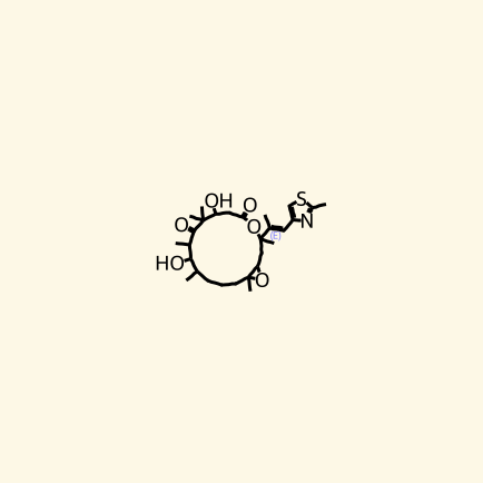 C/C(=C\c1csc(C)n1)C1(C)CC2OC2(C)CCCC(C)C(O)C(C)C(=O)C(C)(C)C(O)CC(=O)O1